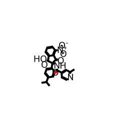 Cc1cc(C(=O)NC23C(=O)c4c([N+](=O)[O-])cccc4C2(O)Oc2cc(C(C)C)ccc23)ccn1